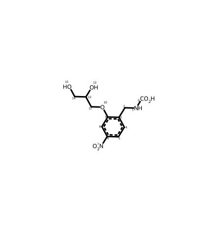 O=C(O)NCc1ccc([N+](=O)[O-])cc1OCC(O)CO